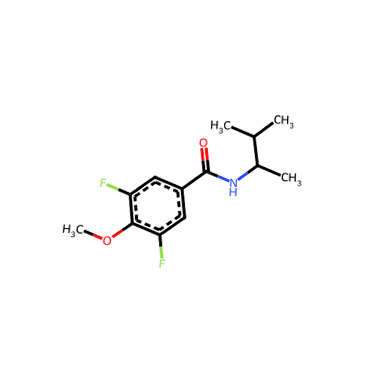 COc1c(F)cc(C(=O)NC(C)C(C)C)cc1F